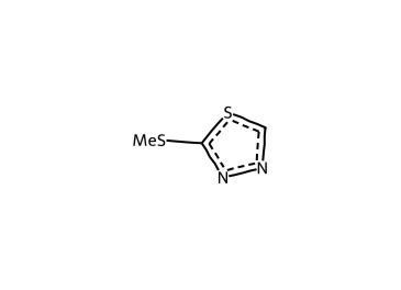 [CH2]Sc1nncs1